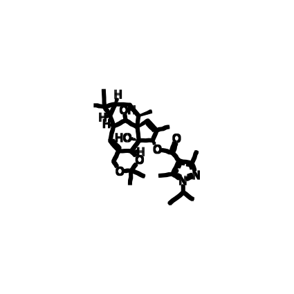 CC1=C[C@]23C(O)[C@@H](C=C4COC(C)(C)O[C@H]4[C@]2(O)[C@H]1OC(=O)c1c(C)nn(C(C)C)c1C)[C@H]1[C@@H](C[C@H]3C)C1(C)C